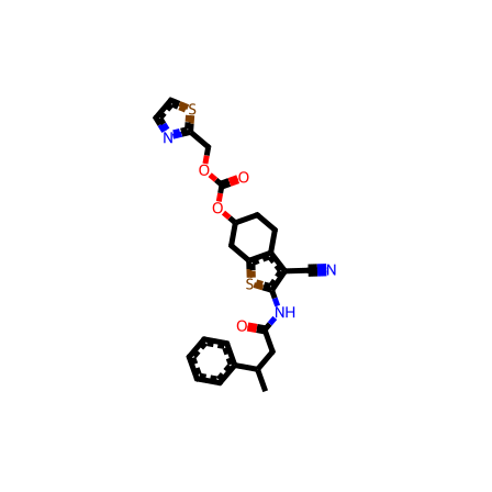 CC(CC(=O)Nc1sc2c(c1C#N)CCC(OC(=O)OCc1nccs1)C2)c1ccccc1